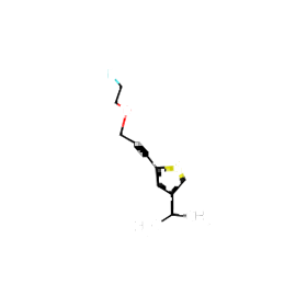 CC(C)c1csc(C#CCOCCF)c1